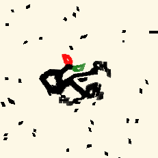 CCCC(c1ccccc1C(=O)Cl)C(C)C